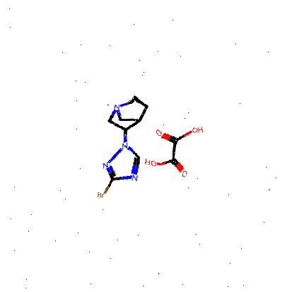 Brc1ncn(C2CN3CCC2C3)n1.O=C(O)C(=O)O